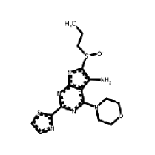 CCC[S+]([O-])c1sc2nc(-c3nccs3)nc(N3CCOCC3)c2c1N